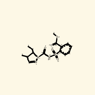 CCC1C(C)C=NN1C(=O)NS(=O)(=O)c1ccccc1C(=O)OC